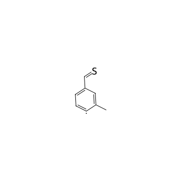 Cc1[c]ccc(C=S)c1